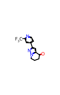 O=C1CCCn2nc(-c3ccnc(C(F)(F)F)c3)cc21